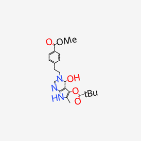 COC(=O)c1ccc(CCN2C=Nc3[nH]c(C)c(OC(=O)C(C)(C)C)c3C2O)cc1